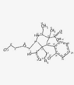 CCC1(C(=O)O)C(COCCCl)NC(C)C(C)(C(=O)O)C1c1ccccc1Cl